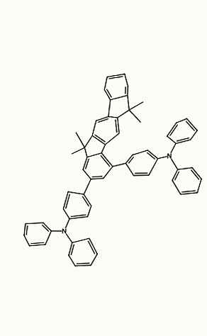 CC1(C)c2ccccc2-c2cc3c(cc21)-c1c(-c2ccc(N(c4ccccc4)c4ccccc4)cc2)cc(-c2ccc(N(c4ccccc4)c4ccccc4)cc2)cc1C3(C)C